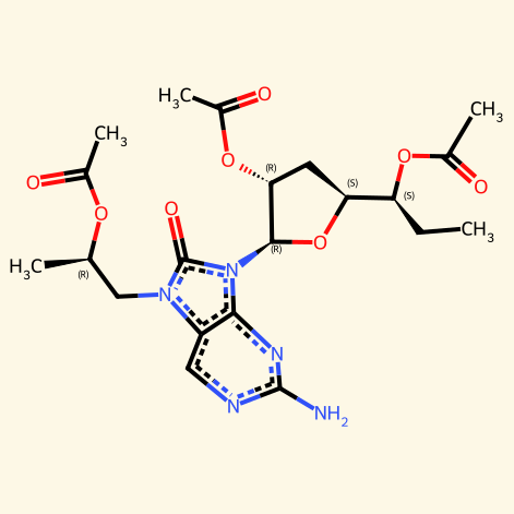 CC[C@H](OC(C)=O)[C@@H]1C[C@@H](OC(C)=O)[C@H](n2c(=O)n(C[C@@H](C)OC(C)=O)c3cnc(N)nc32)O1